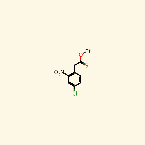 CCOC(=S)Cc1ccc(Cl)cc1[N+](=O)[O-]